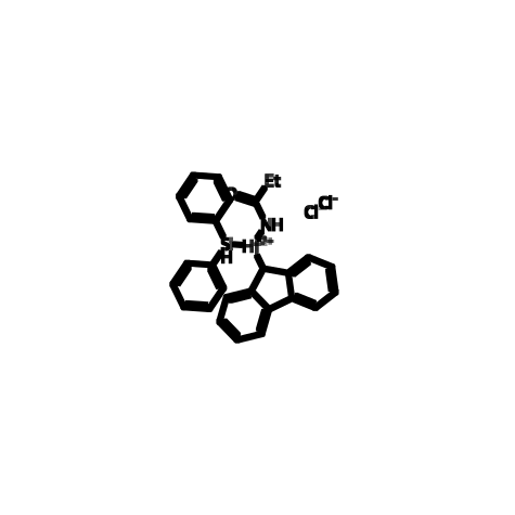 CCC(=O)[NH][Hf+2]([CH]1c2ccccc2-c2ccccc21)[SiH](c1ccccc1)c1ccccc1.[Cl-].[Cl-]